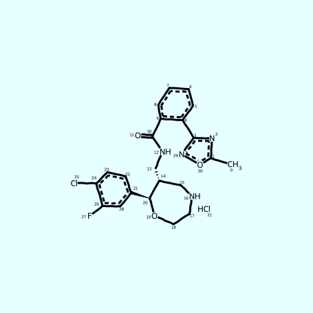 Cc1nc(-c2ccccc2C(=O)NC[C@@H]2CNCCO[C@H]2c2ccc(Cl)c(F)c2)no1.Cl